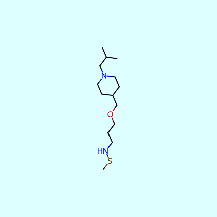 CSNCCCOCC1CCN(CC(C)C)CC1